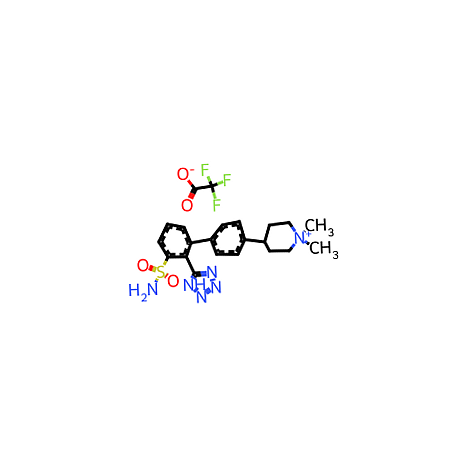 C[N+]1(C)CCC(c2ccc(-c3cccc(S(N)(=O)=O)c3-c3nnn[nH]3)cc2)CC1.O=C([O-])C(F)(F)F